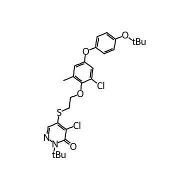 Cc1cc(Oc2ccc(OC(C)(C)C)cc2)cc(Cl)c1OCCSc1cnn(C(C)(C)C)c(=O)c1Cl